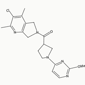 COc1nccc(N2CCC(C(=O)N3Cc4nc(C)c(Cl)c(C)c4C3)C2)n1